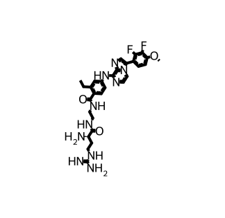 CCc1cc(Nc2nccn3c(-c4ccc(OC)c(F)c4F)cnc23)ccc1C(=O)NCCNC(=O)[C@@H](N)CCNC(=N)N